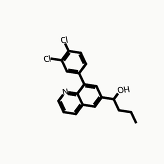 CCCC(O)c1cc(-c2ccc(Cl)c(Cl)c2)c2ncccc2c1